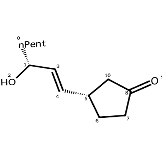 CCCCC[C@@H](O)/C=C/[C@H]1CCC(=O)C1